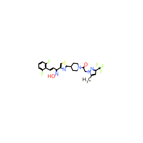 Cc1cc(C(F)(F)F)nn1CC(=O)N1CCC(c2nc(C(C=Cc3c(F)cccc3F)=NO)cs2)CC1